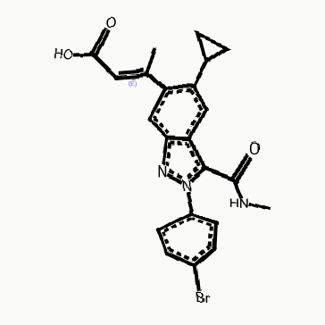 CNC(=O)c1c2cc(C3CC3)c(/C(C)=C/C(=O)O)cc2nn1-c1ccc(Br)cc1